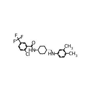 Cc1ccc(NC[C@H]2CC[C@H](NC(=O)c3cc(C(F)(F)F)ccc3Cl)CC2)cc1C